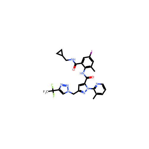 Cc1cccnc1-n1nc(Cn2cc(C(F)(F)C(F)(F)F)nn2)cc1C(=O)Nc1c(C)cc(I)cc1C(=O)NCC1CC1